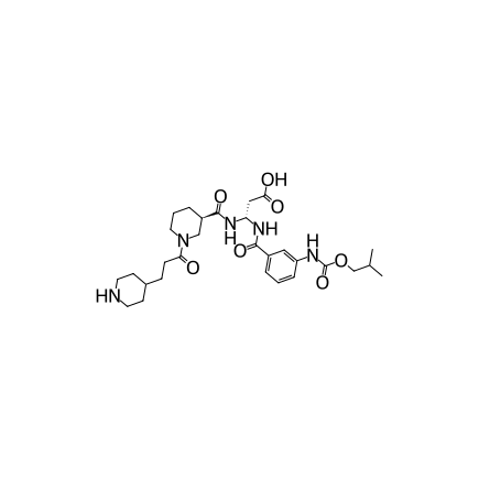 CC(C)COC(=O)Nc1cccc(C(=O)N[C@@H](CC(=O)O)NC(=O)[C@@H]2CCCN(C(=O)CCC3CCNCC3)C2)c1